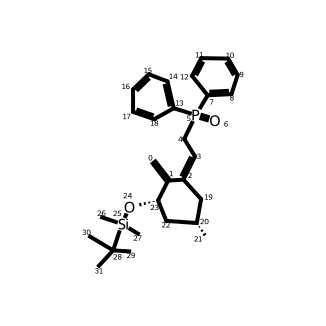 C=C1/C(=C\CP(=O)(c2ccccc2)c2ccccc2)C[C@H](C)C[C@@H]1O[Si](C)(C)C(C)(C)C